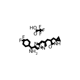 N[C@H](c1cn2ncc(CC3CC4(CC4)NC3=O)cc2n1)C1CCC(F)(F)CC1.O=C(O)C(F)(F)F